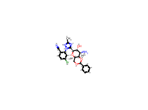 Cc1nc([C@@H]2O[C@@H]3COC(c4ccccc4)O[C@@H]3[C@H](N)[C@H]2O)n(-c2cc(Br)ccc2C#N)n1